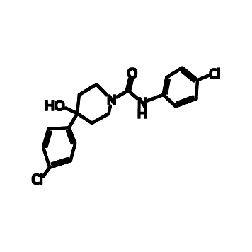 O=C(Nc1ccc(Cl)cc1)N1CCC(O)(c2ccc(Cl)cc2)CC1